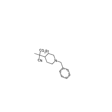 CCOC(=O)C(C)(C#N)C1CCN(Cc2ccccc2)CC1